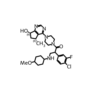 COC1CCC(NCC(C(=O)N2CCN(c3ncnc4c3[C@H](C)C[C@H]4O)CC2)c2ccc(Cl)c(F)c2)CC1